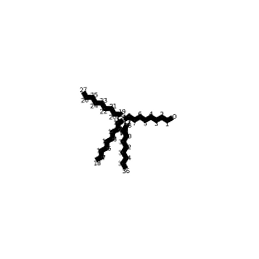 CCCCCCCC[CH2][SbH]([CH2]CCCCCCCC)([CH2]CCCCCCCC)[CH2]CCCCCCCC